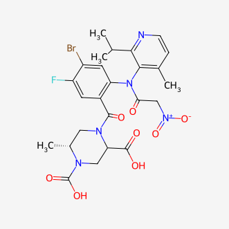 Cc1ccnc(C(C)C)c1N(C(=O)C[N+](=O)[O-])c1cc(Br)c(F)cc1C(=O)N1C[C@@H](C)N(C(=O)O)CC1C(=O)O